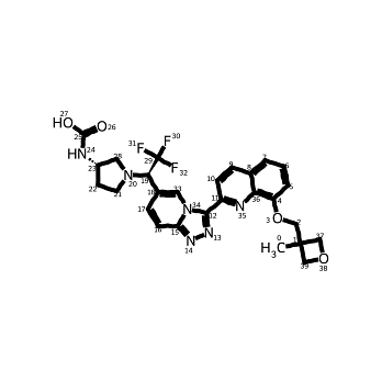 CC1(COc2cccc3ccc(-c4nnc5ccc([C@@H](N6CC[C@H](NC(=O)O)C6)C(F)(F)F)cn45)nc23)COC1